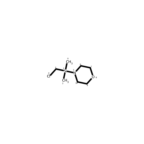 C[Si](C)(CCl)N1CCOCC1